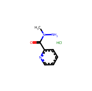 CN(N)C(=O)c1ccccn1.Cl